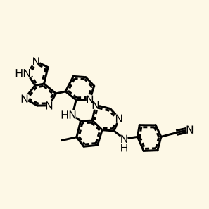 Cc1ccc2c(Nc3ccc(C#N)cc3)ncnc2c1Nc1ncccc1-c1ncnc2[nH]ncc12